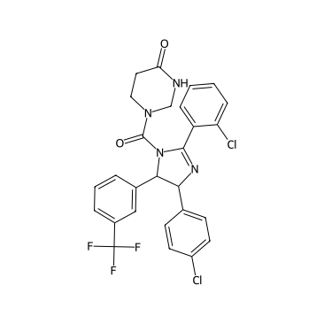 O=C1CCN(C(=O)N2C(c3ccccc3Cl)=NC(c3ccc(Cl)cc3)C2c2cccc(C(F)(F)F)c2)CN1